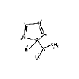 CC(C)C1(Br)C=NC=N1